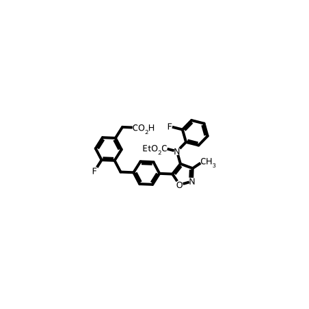 CCOC(=O)N(c1ccccc1F)c1c(C)noc1-c1ccc(Cc2cc(CC(=O)O)ccc2F)cc1